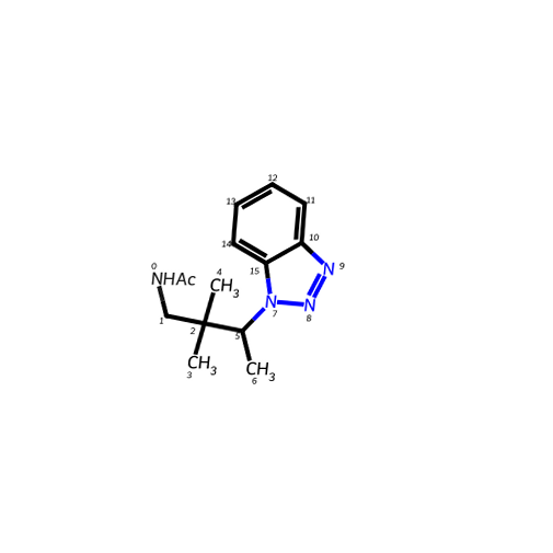 CC(=O)NCC(C)(C)C(C)n1nnc2ccccc21